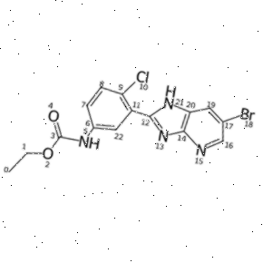 CCOC(=O)Nc1ccc(Cl)c(-c2nc3ncc(Br)cc3[nH]2)c1